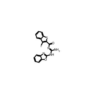 N/C(=N\C(=O)c1sc2ccccc2c1I)Nc1nc2ccccc2o1